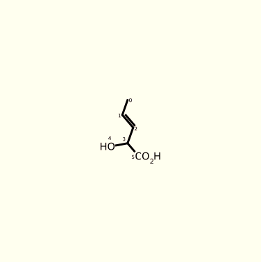 CC=CC(O)C(=O)O